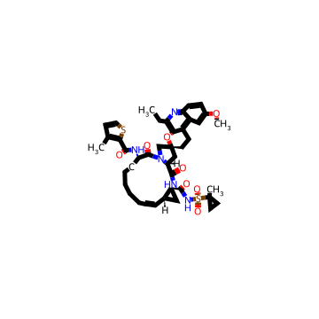 CCc1nc2ccc(OC)cc2c2c1O[C@]1(CC2)C[C@H]2C(=O)N[C@]3(C(=O)NS(=O)(=O)C4(C)CC4)C[C@H]3/C=C\CCCCC[C@H](NC(=O)c3sccc3C)C(=O)N2C1